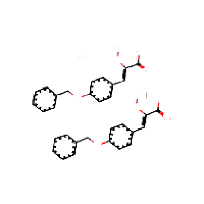 CO/C(=C\c1ccc(OCc2ccccc2)cc1)C(=O)[O-].CO/C(=C\c1ccc(OCc2ccccc2)cc1)C(=O)[O-].[Be+2]